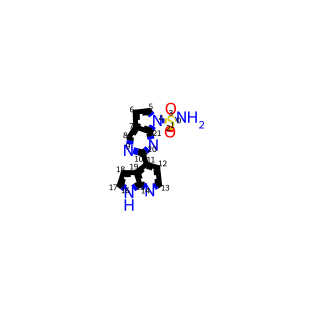 NS(=O)(=O)n1ccc2cnc(-c3ccnc4[nH]ccc34)nc21